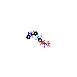 CS(=O)(=O)CCNS(=O)(=O)c1ccc(C(=O)Nc2ccc(Cl)c(-c3cnc4ccccc4n3)c2)cc1